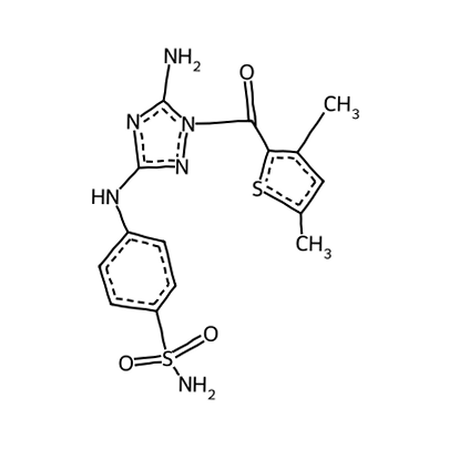 Cc1cc(C)c(C(=O)n2nc(Nc3ccc(S(N)(=O)=O)cc3)nc2N)s1